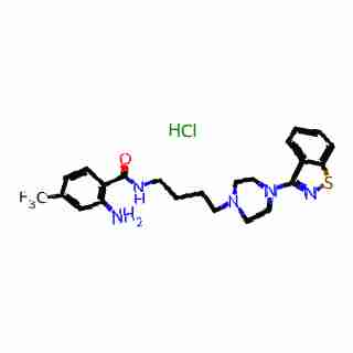 Cl.Nc1cc(C(F)(F)F)ccc1C(=O)NCCCCN1CCN(c2nsc3ccccc23)CC1